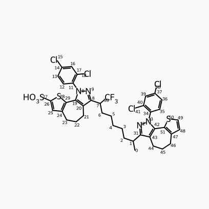 CC(CCCCCC(c1nn(-c2ccc(Cl)cc2Cl)c2c1CCCc1cc(S(=O)(=O)O)sc1-2)C(F)(F)F)c1nn(-c2ccc(Cl)cc2Cl)c2c1CCCc1ccsc1-2